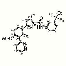 CCC(F)(F)c1cccc(NC(=O)c2nc(-c3ccc(OC)c(-c4cccnn4)c3C)[nH]c2C)c1